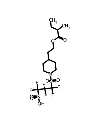 CCC(C)C(=O)OCCC1CCN(S(=O)(=O)C(F)(F)C(F)(F)C(F)(F)S(=O)(=O)O)CC1